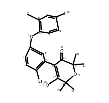 CCc1ccc(Oc2ccc(F)cc2C)cc1C1=C(O)C(C)(C)OC(C)(C)C1=O